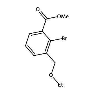 CCOCc1cccc(C(=O)OC)c1Br